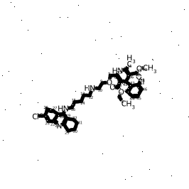 CCOC(=O)C1=C(COCCNCCCCCNc2c3c(nc4cc(Cl)ccc24)CCCC3)NC(C)=C(C(=O)OC)C1c1ccccc1Cl